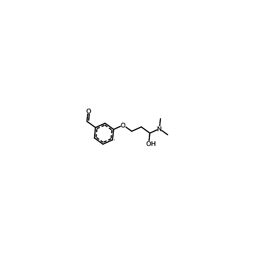 CN(C)C(O)CCOc1[c]ccc(C=O)c1